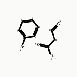 Brc1ccccc1.CC(=O)CC=O